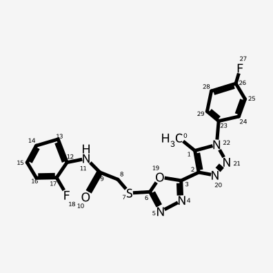 Cc1c(-c2nnc(SCC(=O)Nc3ccccc3F)o2)nnn1-c1ccc(F)cc1